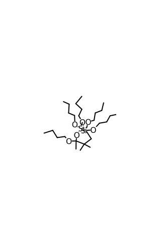 CCCCOC1(C)O[Si](OCCCC)(OCCCC)[Si](OCCCC)(OCCCC)CC1(C)C